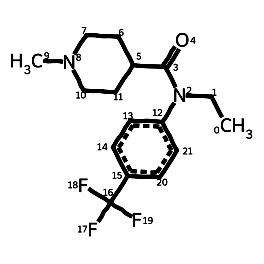 CCN(C(=O)C1CCN(C)CC1)c1ccc(C(F)(F)F)cc1